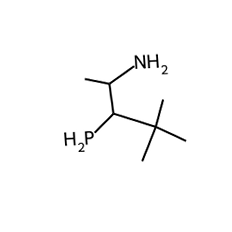 CC(N)C(P)C(C)(C)C